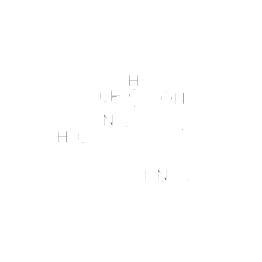 CN(C)C[C@@](C)(O)C1CCCNC1